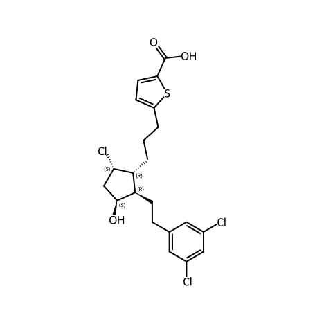 O=C(O)c1ccc(CCC[C@@H]2[C@@H](CCc3cc(Cl)cc(Cl)c3)[C@@H](O)C[C@@H]2Cl)s1